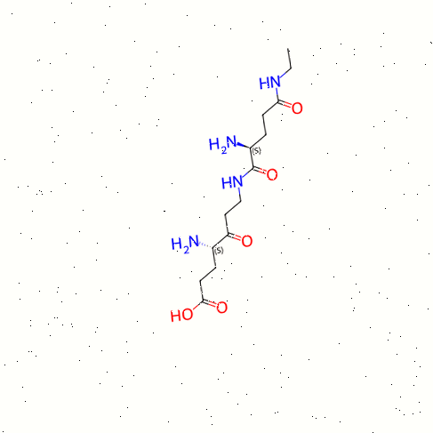 CCNC(=O)CC[C@H](N)C(=O)NCCC(=O)[C@@H](N)CCC(=O)O